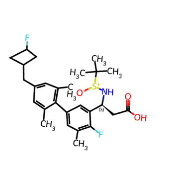 Cc1cc(-c2c(C)cc(CC3CC(F)C3)cc2C)cc([C@H](CC(=O)O)N[S+]([O-])C(C)(C)C)c1F